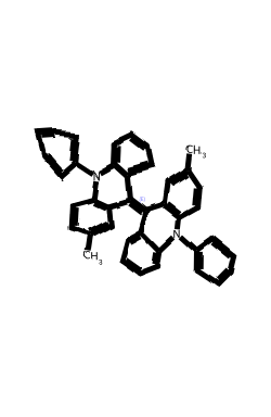 Cc1ccc2c(c1)/C(=C1\c3ccccc3N(c3ccccc3)c3ccc(C)cc31)c1ccccc1N2c1ccccc1